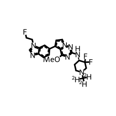 [2H]C([2H])([2H])N1CC[C@@H](Nc2nc(OC)c3c(-c4ccc5ncn(CCF)c5c4)ccn3n2)C(F)(F)C1